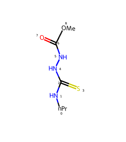 CCCNC(=S)NNC(=O)OC